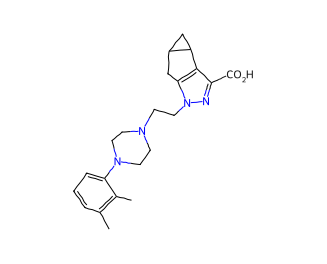 Cc1cccc(N2CCN(CCn3nc(C(=O)O)c4c3CC3CC43)CC2)c1C